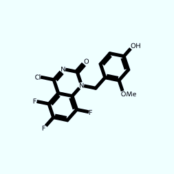 COc1cc(O)ccc1Cn1c(=O)nc(Cl)c2c(F)c(F)cc(F)c21